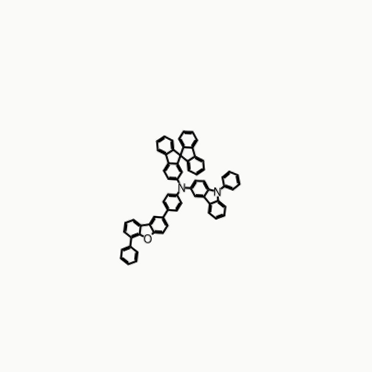 c1ccc(-c2cccc3c2oc2ccc(-c4ccc(N(c5ccc6c(c5)C5(c7ccccc7-c7ccccc75)c5ccccc5-6)c5ccc6c(c5)c5ccccc5n6-c5ccccc5)cc4)cc23)cc1